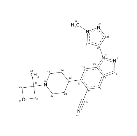 Cn1cc(-n2ncc3cc(C#N)c(C4CCN(C5(C)COC5)CC4)cc32)cn1